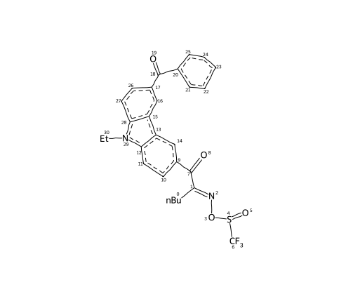 CCCC/C(=N\OS(=O)C(F)(F)F)C(=O)c1ccc2c(c1)c1cc(C(=O)c3ccccc3)ccc1n2CC